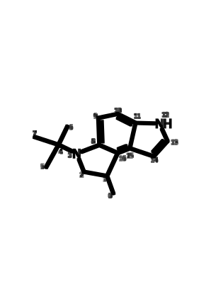 CC1CN(C(C)(C)C)c2ccc3[nH]ccc3c21